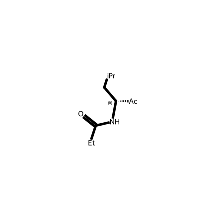 CCC(=O)N[C@H](CC(C)C)C(C)=O